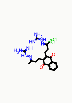 CC(CCC1=C(CCC(C)=NNC(=N)N)C(=O)c2ccccc2C1=O)=NNC(=N)N.Cl.Cl